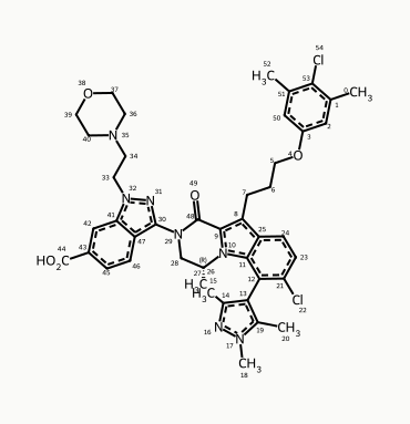 Cc1cc(OCCCc2c3n(c4c(-c5c(C)nn(C)c5C)c(Cl)ccc24)[C@H](C)CN(c2nn(CCN4CCOCC4)c4cc(C(=O)O)ccc24)C3=O)cc(C)c1Cl